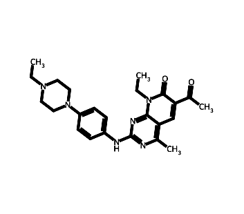 CCN1CCN(c2ccc(Nc3nc(C)c4cc(C(C)=O)c(=O)n(CC)c4n3)cc2)CC1